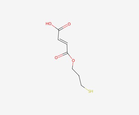 O=C(O)C=CC(=O)OCCCS